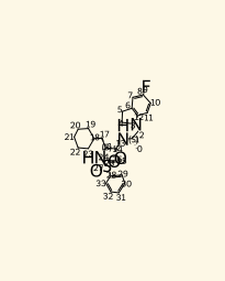 C[C@@H](CN1CCc2cc(F)ccc21)NC(=O)[C@H](CC1CCCCC1)NS(=O)(=O)c1ccccc1